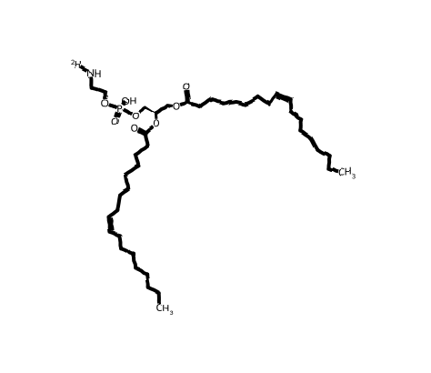 [2H]NCCOP(=O)(O)OC[C@@H](COC(=O)CCCCCCC/C=C\CCCCCCCC)OC(=O)CCCCCCC/C=C\CCCCCCCC